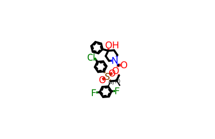 C[C@H](COC(=O)N1CCC(O)(c2ccccc2)CC1)[C@@H](c1cc(F)ccc1F)S(=O)(=O)c1ccc(Cl)cc1